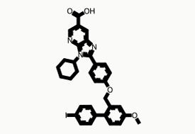 COc1ccc(-c2ccc(I)cc2)c(COc2ccc(-c3nc4cc(C(=O)O)cnc4n3C3CCCCC3)cc2)c1